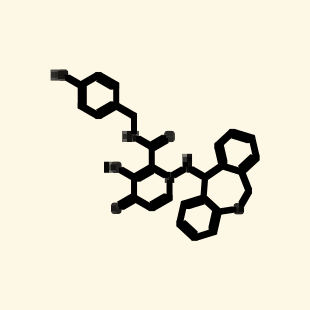 O=C(NCc1ccc(O)cc1)c1c(O)c(=O)ccn1NC1c2ccccc2COc2ccccc21